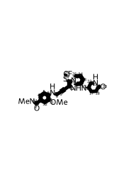 CNC(=O)c1ccc(NCC#Cc2nc3c(N[C@@H]4CCC(=O)NC4)cccn3c2SC(F)(F)F)c(OC)c1